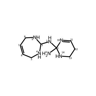 NC1(NC2NCC=CCN2)N=CCCN1